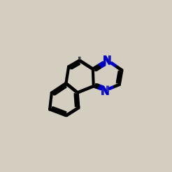 [c]1cc2ccccc2c2nccnc12